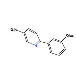 COc1cccc(-c2ccc([N+](=O)[O-])cn2)c1